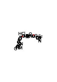 Cl.N#Cc1ccc(O[C@H]2CC[C@H](NC(=O)c3ccc(N4CCC(CN5CCC(n6ccc7c(N8CCC(=O)NC8=O)cncc76)CC5)CC4)nn3)CC2)cc1C(F)(F)F